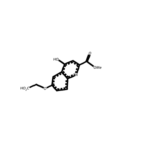 COC(=O)c1cc(O)c2cc(OCC(=O)O)ccc2n1